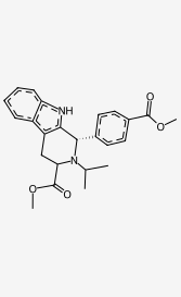 COC(=O)c1ccc([C@H]2c3[nH]c4ccccc4c3CC(C(=O)OC)N2C(C)C)cc1